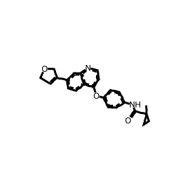 CC1(C(=O)Nc2ccc(Oc3ccnc4cc(C5=CCOC5)ccc34)cc2)CC1